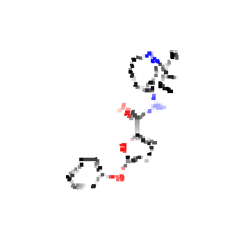 C[C@H]1[C@H](NC(=O)c2ccc(Oc3ccccc3)o2)C2CCN1CC2